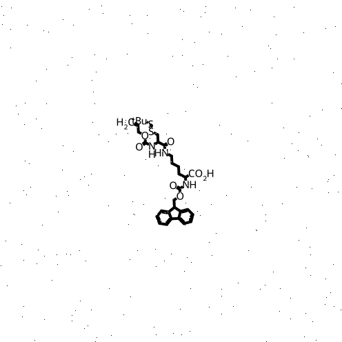 C=CCOC(=O)NC(CSSC(C)(C)C)C(=O)NCCCCC(NC(=O)OCC1c2ccccc2-c2ccccc21)C(=O)O